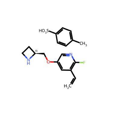 C=Cc1cc(OC[C@@H]2CCN2)cnc1F.Cc1ccc(S(=O)(=O)O)cc1